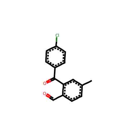 Cc1ccc([C]=O)c(C(=O)c2ccc(Cl)cc2)c1